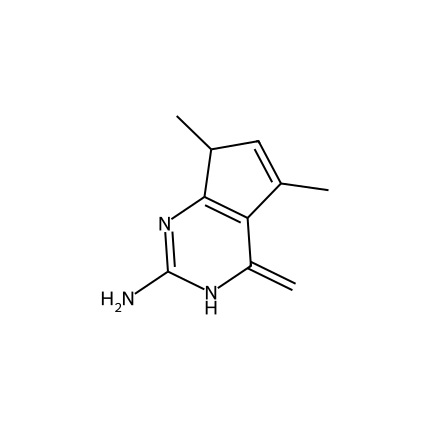 C=C1NC(N)=NC2=C1C(C)=CC2C